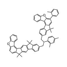 Cc1ccc(C(Cc2ccc3c(c2)C(C)(C)c2cc4c(cc2-3)C(C)(C)c2ccc3oc5ccccc5c3c2-4)Cc2ccc3c(c2)C(C)(C)c2cc(-c4ccccc4C)c4oc5ccccc5c4c2-3)c(C)c1